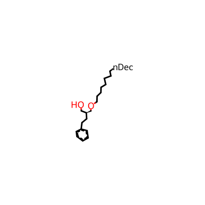 CCCCCCCCCCCCCCCCCCOC[C@H](CO)CCc1ccccc1